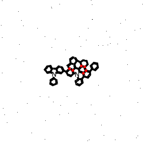 c1ccc(-c2ccc(-c3ccccc3N(c3ccc(-c4ccc5c6ccccc6n(-c6ccccc6)c5c4)cc3)c3ccccc3-c3cccc4cccc(C5CCCCC5)c34)cc2)cc1